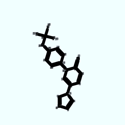 O=c1ccc(-n2ccnc2)cn1-c1ccc(OC(F)(F)F)cc1